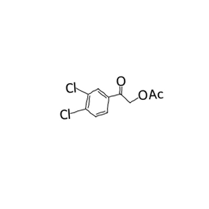 CC(=O)OCC(=O)c1ccc(Cl)c(Cl)c1